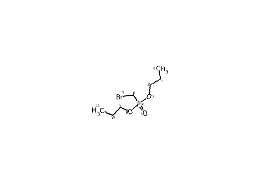 CCCOP(=O)(CBr)OCCC